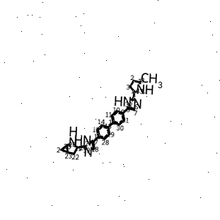 C[C@H]1CCC(c2ncc(-c3ccc(-c4ccc(-c5cnc(C6CC7CC7N6)[nH]5)cc4)cc3)[nH]2)N1